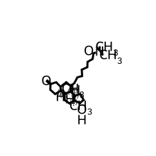 CN(C)C(=O)CCCCCCCC1CC2CC(=O)CC[C@]2(C)[C@@H]2CC[C@]3(C)C(O)CC[C@H]3[C@H]12